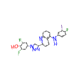 Oc1c(F)cc(-n2cc(-c3ccc4c(Nc5ccc(F)c(I)c5)cccc4n3)nn2)cc1F